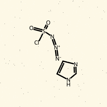 [N-]=[N+]=NS(=O)(=O)Cl.c1c[nH]cn1